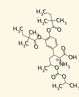 CCC(C)(C)C(=O)Oc1ccc(C(CC(C)OC(=O)OC(C)C)[C@H](N)C(=O)O)cc1OC(=O)C(C)(C)CC